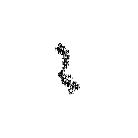 Cc1cc(NC(=O)Nc2cnc3ccnn3c2C2CCCCC2)cnc1-c1noc(CCCCN2CCN(c3ccc4c(c3)CN(C3CCC(=O)NC3=O)C4=O)CC2)n1